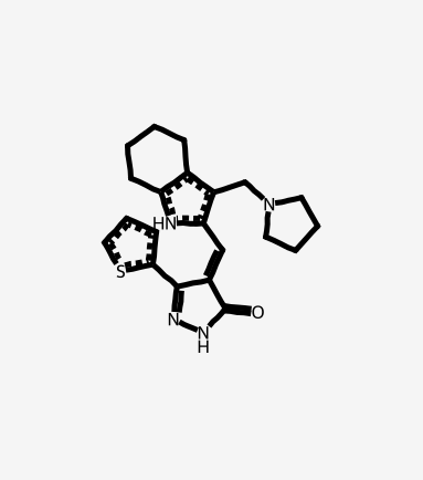 O=C1NN=C(c2cccs2)/C1=C\c1[nH]c2c(c1CN1CCCC1)CCCC2